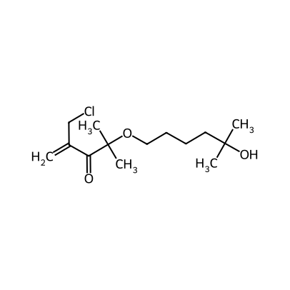 C=C(CCl)C(=O)C(C)(C)OCCCCC(C)(C)O